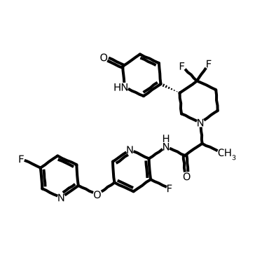 CC(C(=O)Nc1ncc(Oc2ccc(F)cn2)cc1F)N1CCC(F)(F)[C@@H](c2ccc(=O)[nH]c2)C1